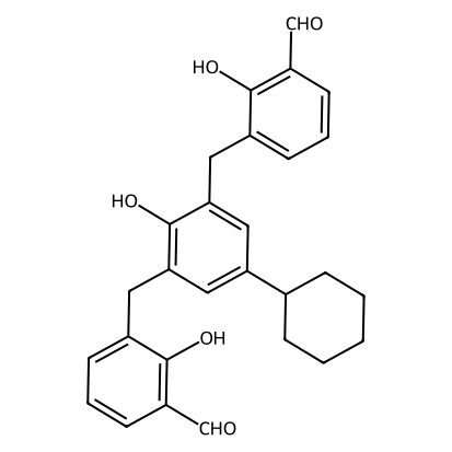 O=Cc1cccc(Cc2cc(C3CCCCC3)cc(Cc3cccc(C=O)c3O)c2O)c1O